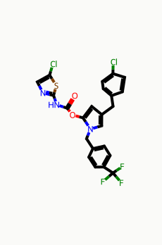 O=C(Nc1ncc(Cl)s1)Oc1cc(Cc2ccc(Cl)cc2)cn1Cc1ccc(C(F)(F)F)cc1